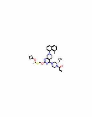 C=CC(=O)N1CCN(c2nc(OCS[C@H](C)OC3CCC3)nc3c2CCN(c2cccc4cccc(C)c24)C3)C[C@@H]1CC#N